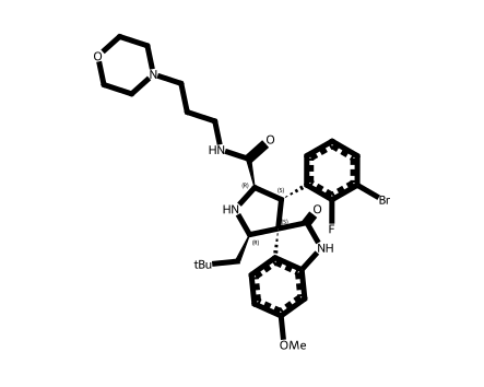 COc1ccc2c(c1)NC(=O)[C@]21[C@@H](CC(C)(C)C)N[C@@H](C(=O)NCCCN2CCOCC2)[C@@H]1c1cccc(Br)c1F